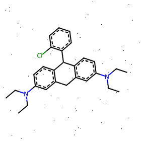 CCN(CC)c1ccc2c(c1)Cc1cc(N(CC)CC)ccc1C2c1ccccc1Cl